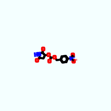 O=C1CC(OC(=O)OCc2ccc([N+](=O)[O-])cc2)C(=O)N1